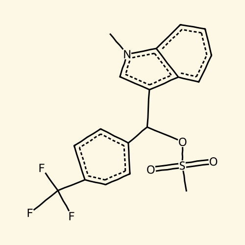 Cn1cc(C(OS(C)(=O)=O)c2ccc(C(F)(F)F)cc2)c2ccccc21